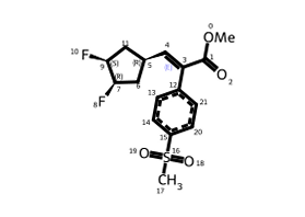 COC(=O)/C(=C/[C@H]1C[C@@H](F)[C@@H](F)C1)c1ccc(S(C)(=O)=O)cc1